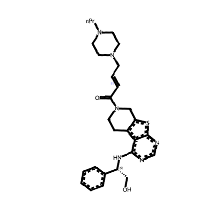 CCCN1CCN(C/C=C/C(=O)N2CCc3c(sc4ncnc(N[C@H](CO)c5ccccc5)c34)C2)CC1